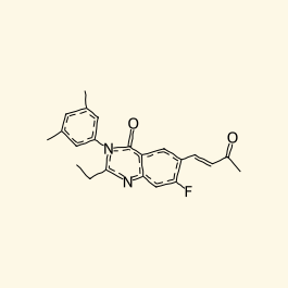 CCc1nc2cc(F)c(/C=C/C(C)=O)cc2c(=O)n1-c1cc(C)cc(C)c1